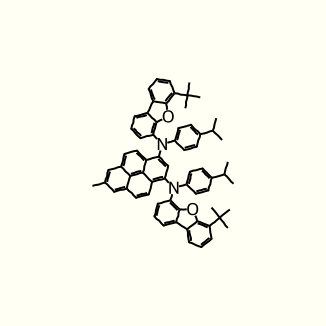 Cc1cc2ccc3c(N(c4ccc(C(C)C)cc4)c4cccc5c4oc4c(C(C)(C)C)cccc45)cc(N(c4ccc(C(C)C)cc4)c4cccc5c4oc4c(C(C)(C)C)cccc45)c4ccc(c1)c2c34